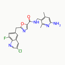 Cc1cc(N)nc(C)c1CNC(=O)c1cnc(Cc2cc(F)c3ncc(Cl)cc3c2)o1